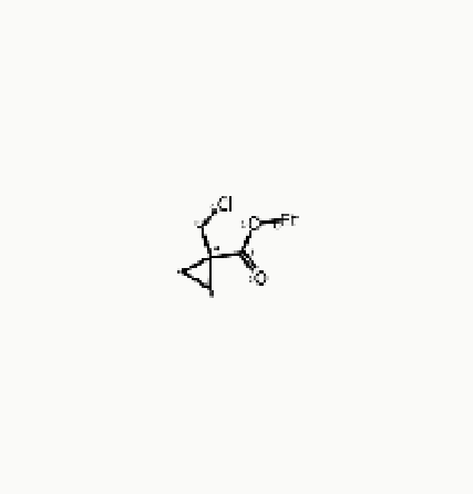 CCOC(=O)C1(CCl)CC1